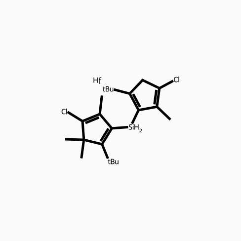 CC1=C(Cl)CC(C(C)(C)C)=C1[SiH2]C1=C(C(C)(C)C)C(C)(C)C(Cl)=C1C.[Hf]